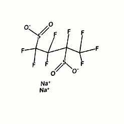 O=S([O-])C(F)(F)C(F)(F)C(F)(S(=O)[O-])C(F)(F)F.[Na+].[Na+]